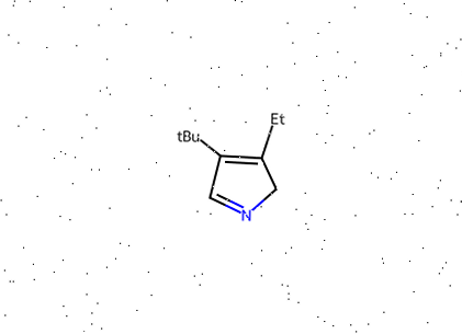 CCC1=C(C(C)(C)C)C=NC1